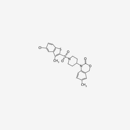 Cc1ccc2c(c1)COC(=O)N2C1CCN(S(=O)(=O)c2sc3ccc(Cl)cc3c2C)CC1